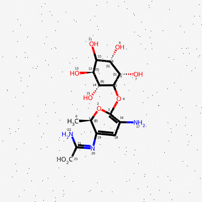 C[C@H]1OC(OC2[C@@H](O)[C@@H](O)C(O)[C@H](O)[C@H]2O)=C(N)C=C1N=C(N)C(=O)O